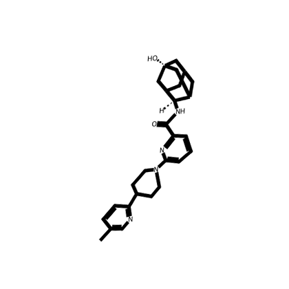 Cc1ccc(C2CCN(c3cccc(C(=O)N[C@H]4C5CC6CC4C[C@](O)(C6)C5)n3)CC2)nc1